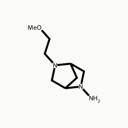 COCCN1CC2CC1CN2N